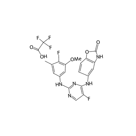 COc1cc(Nc2ncc(F)c(Nc3ccc4oc(=O)[nH]c4c3)n2)cc(C)c1F.O=C(O)C(F)(F)F